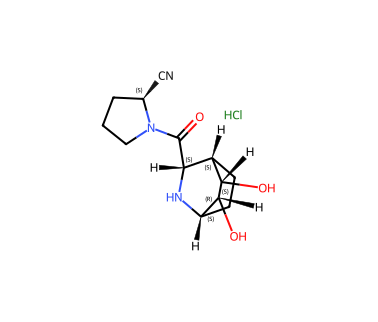 Cl.N#C[C@@H]1CCCN1C(=O)[C@H]1N[C@H]2CC[C@@H]1[C@H](O)[C@@H]2O